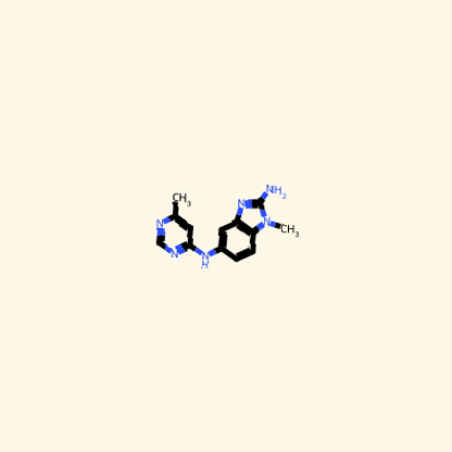 Cc1cc(Nc2ccc3c(c2)nc(N)n3C)ncn1